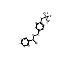 O=P(O)(O)Cc1ccc(CCC(Br)c2ccccc2)cc1